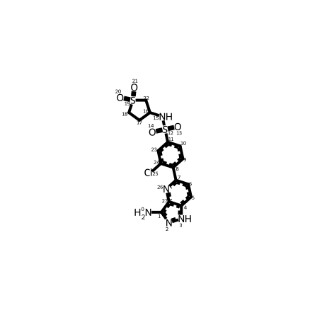 Nc1n[nH]c2ccc(-c3ccc(S(=O)(=O)NC4CCS(=O)(=O)C4)cc3Cl)nc12